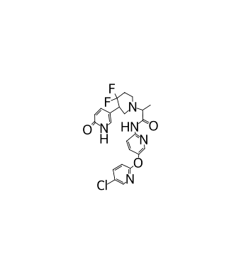 CC(C(=O)Nc1ccc(Oc2ccc(Cl)cn2)cn1)N1CCC(F)(F)C(c2ccc(=O)[nH]c2)C1